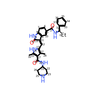 CC[C@@H](NC(=O)c1ccc2c(c1)C(=Cc1[nH]c(C)c(C(=O)NC3CCNCC3)c1C)C(=O)N2)c1ccccc1